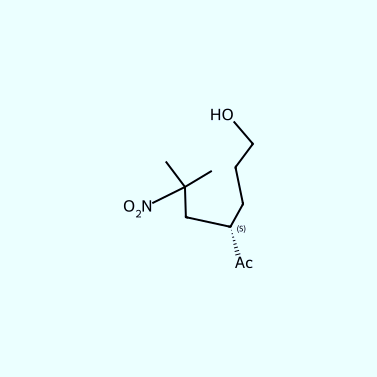 CC(=O)[C@@H](CCCO)CC(C)(C)[N+](=O)[O-]